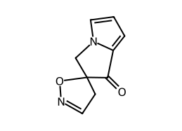 O=C1c2cccn2CC12CC=NO2